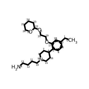 CCc1ccc(C2CCN(CCCCN)CC2)c(OCCOC2CCCCO2)c1